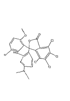 COc1ccc(Cl)cc1C1(c2ccc(N(C)C)cc2O)OC(=O)c2c(Cl)c(Cl)c(Cl)c(Cl)c21